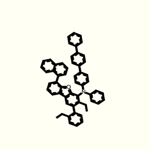 CCc1ccccc1-c1cc2c(oc3c(-c4cccc5ccccc45)cccc32)c(N(c2ccccc2)c2ccc(-c3ccc(-c4ccccc4)cc3)cc2)c1CC